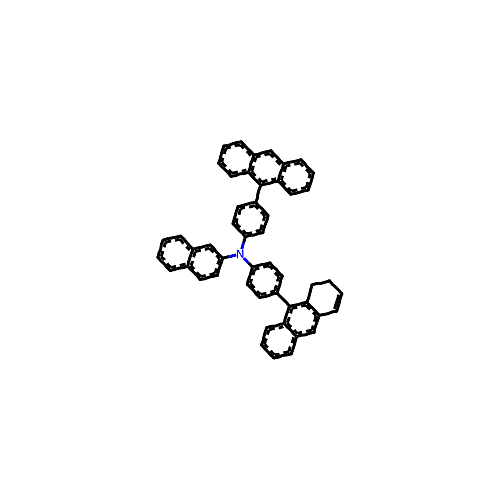 C1=Cc2cc3ccccc3c(-c3ccc(N(c4ccc(-c5c6ccccc6cc6ccccc56)cc4)c4ccc5ccccc5c4)cc3)c2CC1